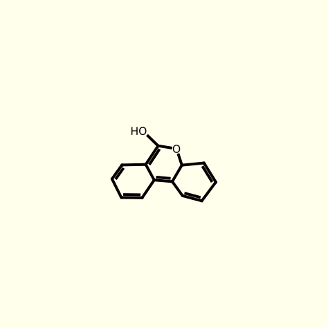 OC1=c2ccccc2=C2C=CC=CC2O1